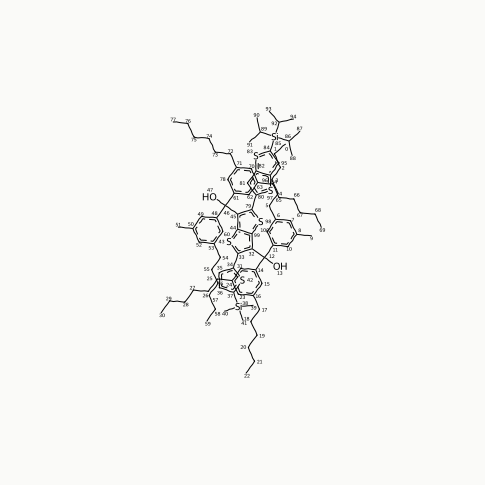 CCCCCCc1cc(C)cc(C(O)(c2cc(CCCCCC)cc(CCCCCC)c2)c2c(-c3ccc([Si](C)(C)C)s3)sc3c(C(O)(c4cc(C)cc(CCCCCC)c4)c4cc(CCCCCC)cc(CCCCCC)c4)c(-c4cc5sc([Si](C(C)C)(C(C)C)C(C)C)cc5s4)sc23)c1